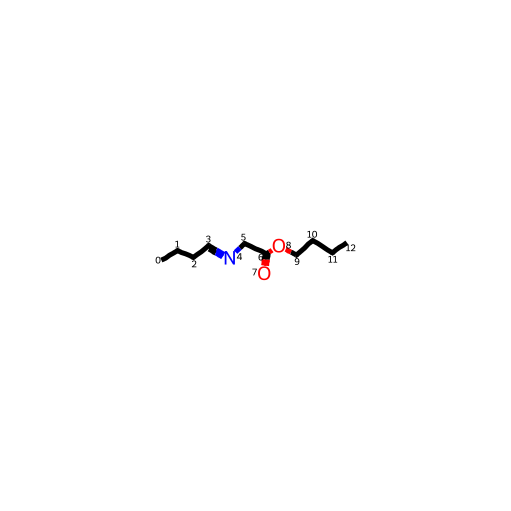 CCCC=NCC(=O)OCCCC